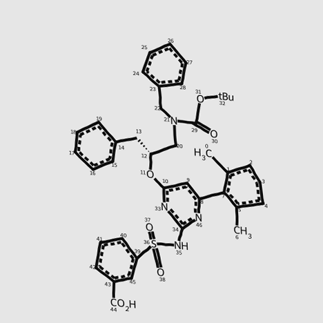 Cc1cccc(C)c1-c1cc(O[C@H](Cc2ccccc2)CN(Cc2ccccc2)C(=O)OC(C)(C)C)nc(NS(=O)(=O)c2cccc(C(=O)O)c2)n1